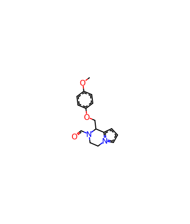 COc1ccc(OCC2c3cccn3CCN2C=O)cc1